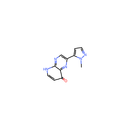 Cn1nccc1-c1cnc2[nH]ccc(=O)c2n1